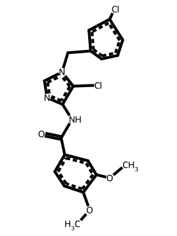 COc1ccc(C(=O)Nc2ncn(Cc3cccc(Cl)c3)c2Cl)cc1OC